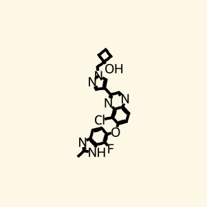 Cc1nc2ccc(Oc3ccc4ncc(-c5cnn(CC6(O)CCC6)c5)nc4c3Cl)c(F)c2[nH]1